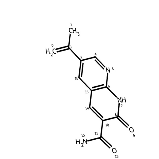 C=C(C)c1cnc2[nH]c(=O)c(C(N)=O)cc2c1